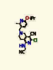 Cc1nc(OC(C)C)ccc1CN1CCc2c(NCC#N)nc(Cl)c(C#N)c2C1